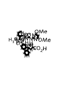 COc1cc(OC)nc(NC(=O)NS(=O)(=O)c2ncccc2C(=O)N(C)C)n1.O=C(O)C1=NOC(c2ccccc2)(c2ccccc2)C1